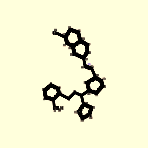 O=C(O)c1ccccc1CCC(c1cccc(/C=C/c2ccc3ccc(Cl)cc3n2)c1)n1cncn1